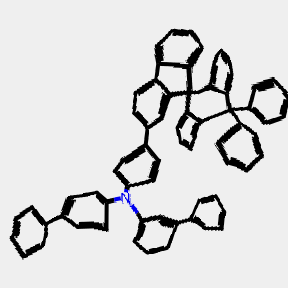 c1ccc(-c2ccc(N(c3ccc(-c4ccc5c(c4)C4(c6ccccc6-5)c5ccccc5C(c5ccccc5)(c5ccccc5)c5ccccc54)cc3)c3cccc(-c4ccccc4)c3)cc2)cc1